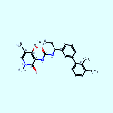 COc1cccc(-c2cccc([C@H](CC(=O)O)NC(=O)Nc3c(O)c(C)cn(C)c3=O)c2)c1C